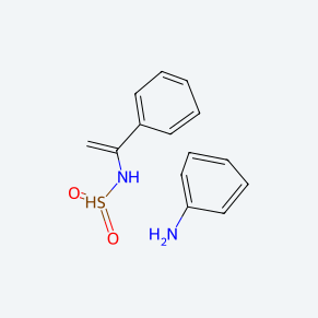 C=C(N[SH](=O)=O)c1ccccc1.Nc1ccccc1